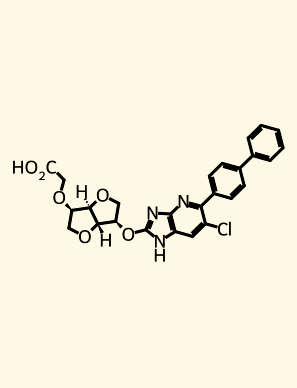 O=C(O)CO[C@@H]1CO[C@@H]2[C@@H]1OC[C@H]2Oc1nc2nc(-c3ccc(-c4ccccc4)cc3)c(Cl)cc2[nH]1